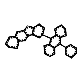 c1ccc(-c2c3ccccc3c(-c3ccc4sc5cc6ccccc6cc5c4c3)c3ccccc23)cc1